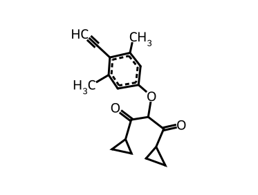 C#Cc1c(C)cc(OC(C(=O)C2CC2)C(=O)C2CC2)cc1C